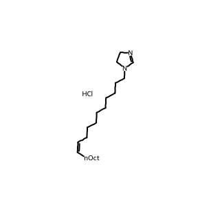 CCCCCCCC/C=C\CCCCCCCCCN1C=NCC1.Cl